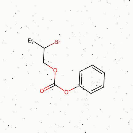 CCC(Br)COC(=O)Oc1ccccc1